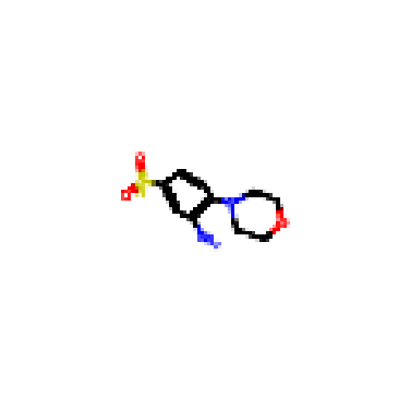 Nc1cc([SH](=O)=O)ccc1N1CCOCC1